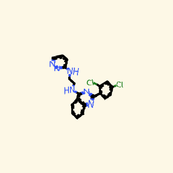 Clc1ccc(-c2nc(NCCNc3cccnn3)c3ccccc3n2)c(Cl)c1